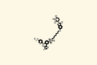 Cn1cnc(-c2cc(S(=O)(=O)NCCCCCCCOc3ccc4c(c3)CN([C@H]3CCC(=O)NC3=O)C4=O)ccc2Nc2ccc(C(F)(F)F)cn2)c1